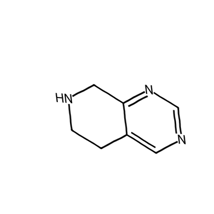 c1ncc2c(n1)CNCC2